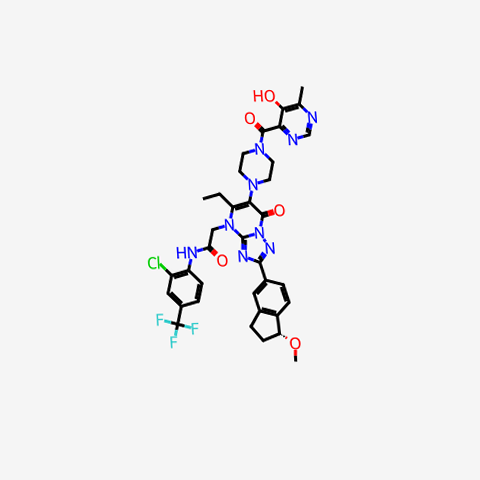 CCc1c(N2CCN(C(=O)c3ncnc(C)c3O)CC2)c(=O)n2nc(-c3ccc4c(c3)CC[C@H]4OC)nc2n1CC(=O)Nc1ccc(C(F)(F)F)cc1Cl